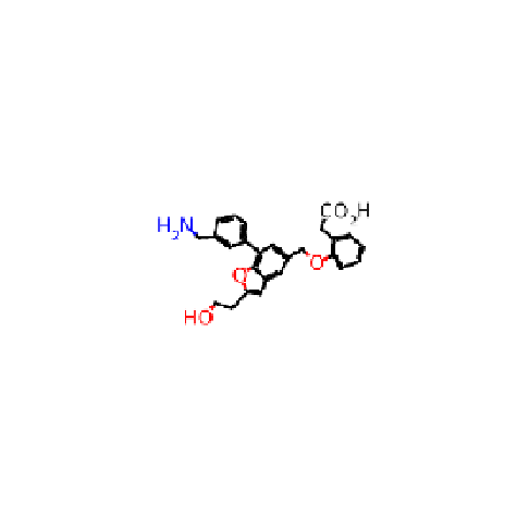 NCc1cccc(-c2cc(COc3ccccc3CC(=O)O)cc3cc(CCO)oc23)c1